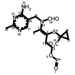 C/C(=C(\CCOP=O)SC1(C(=O)O)CC1)N(C=O)Cc1cnc(C)nc1N